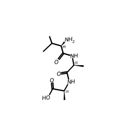 CC(C)[C@@H](N)C(=O)N[C@@H](C)C(=O)N[C@@H](C)C(=O)O